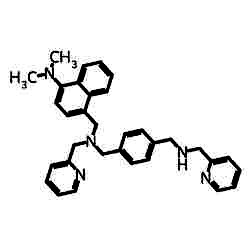 CN(C)c1ccc(CN(Cc2ccc(CNCc3ccccn3)cc2)Cc2ccccn2)c2ccccc12